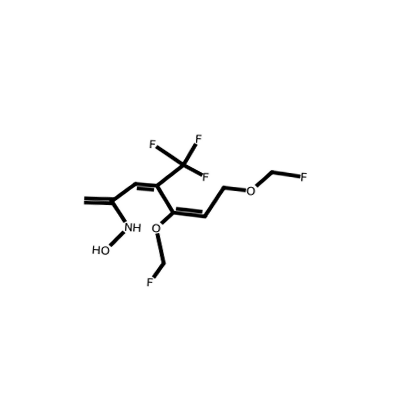 C=C(/C=C(\C(=C/COCF)OCF)C(F)(F)F)NO